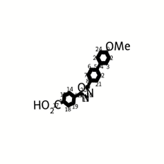 COc1ccc(-c2ccc(-c3nnc(-c4ccc(C(=O)O)cc4)o3)cc2)cc1